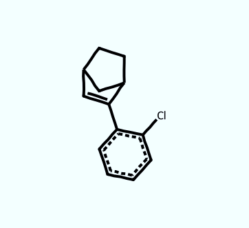 Clc1ccccc1C1=CC2CCC1C2